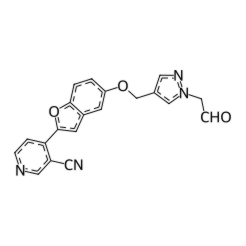 N#Cc1cnccc1-c1cc2cc(OCc3cnn(CC=O)c3)ccc2o1